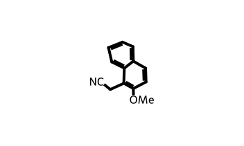 COc1ccc2ccccc2c1CC#N